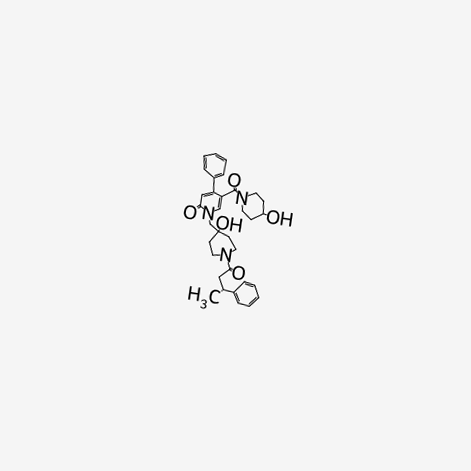 C[C@H](CC(=O)N1CCC(O)(Cn2cc(C(=O)N3CCC(O)CC3)c(-c3ccccc3)cc2=O)CC1)c1ccccc1